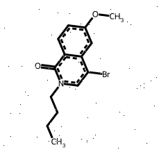 CCCCn1cc(Br)c2cc(OC)ccc2c1=O